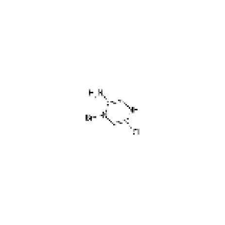 NC1=CNC(Cl)=CN1Br